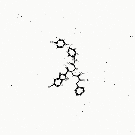 CN(Cc1ccccc1)C(=O)CN(CC(=O)Nc1ccc(Oc2ccc(F)cc2)cc1)C(=O)c1cc2cc(F)ccc2[nH]1